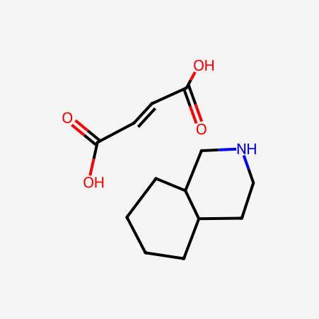 C1CCC2CNCCC2C1.O=C(O)C=CC(=O)O